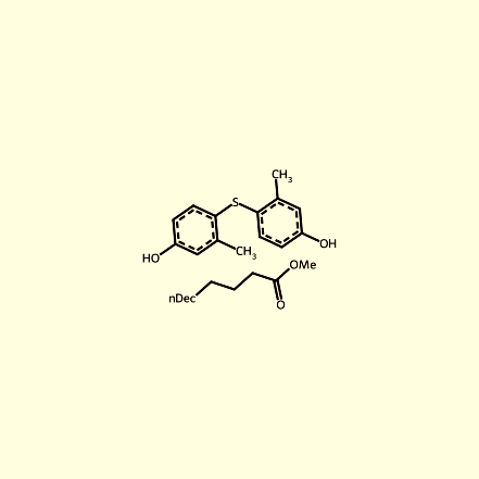 CCCCCCCCCCCCCC(=O)OC.Cc1cc(O)ccc1Sc1ccc(O)cc1C